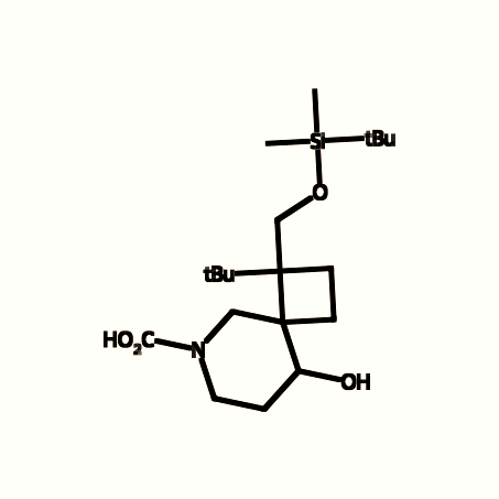 CC(C)(C)C1(CO[Si](C)(C)C(C)(C)C)CCC12CN(C(=O)O)CCC2O